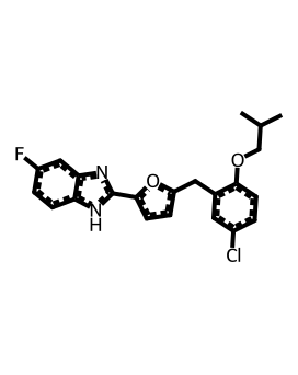 CC(C)COc1ccc(Cl)cc1Cc1ccc(-c2nc3cc(F)ccc3[nH]2)o1